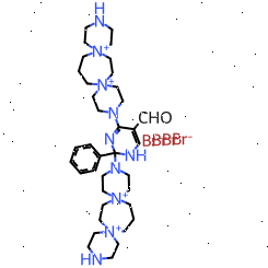 O=CC1=CNC(c2ccccc2)(N2CC[N+]3(CCC[N+]4(CCNCC4)CC3)CC2)N=C1N1CC[N+]2(CCC[N+]3(CCNCC3)CC2)CC1.[Br-].[Br-].[Br-].[Br-]